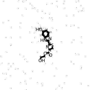 O=C(OCCO)[C@H]1CSC(c2nc3ccc(O)cc3[nH]2)=N1